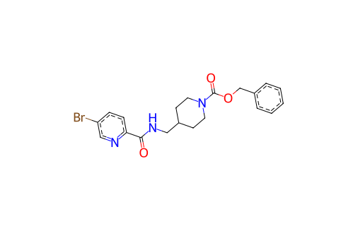 O=C(NCC1CCN(C(=O)OCc2ccccc2)CC1)c1ccc(Br)cn1